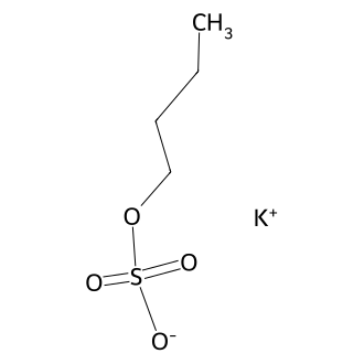 CCCCOS(=O)(=O)[O-].[K+]